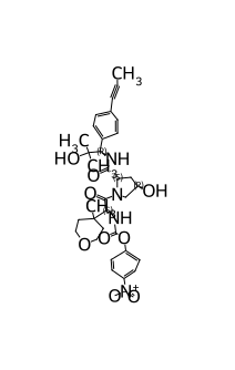 CC#Cc1ccc([C@@H](NC(=O)[C@@H]2C[C@@H](O)CN2C(=O)[C@@H](NC(=O)Oc2ccc([N+](=O)[O-])cc2)C2(C)CCOCC2)C(C)(C)O)cc1